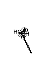 CCCCCCCCCCCCCOC(=O)CC(O)(CC(=O)OC(C)=O)C(=O)O